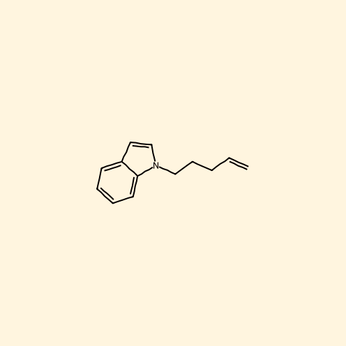 C=CCCCn1ccc2ccccc21